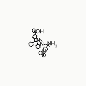 COC(=O)N1CCC(C(C)(N)CCN2CCn3c(c(C4CCCCC4)c4ccc(C(=O)O)cc43)-c3ccccc32)CC1